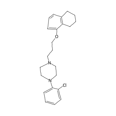 Clc1ccccc1N1CCN(CCCOc2cccc3c2CCCC3)CC1